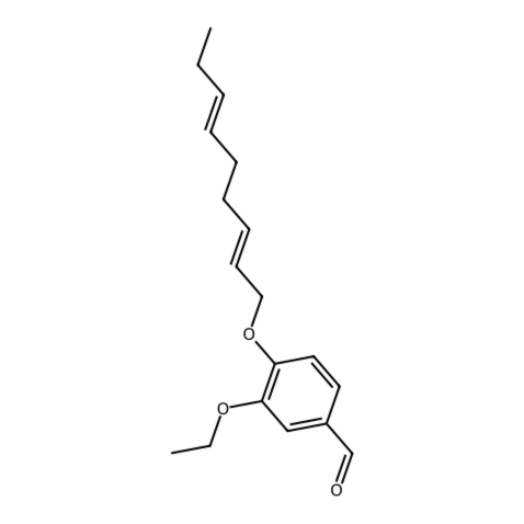 CCC=CCCC=CCOc1ccc(C=O)cc1OCC